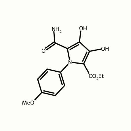 CCOC(=O)c1c(O)c(O)c(C(N)=O)n1-c1ccc(OC)cc1